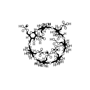 CS(=O)(=O)OC[C@H]1O[C@@H]2O[C@H]3[C@H](O)[C@@H](O)[C@@H](O[C@H]4[C@H](O)[C@@H](O)[C@@H](O[C@@H]5[C@@H](COS(=O)(=O)O)C[C@H](O[C@H]6[C@H](O)[C@@H](O)[C@@H](O[C@H]7[C@H](O)[C@@H](O)[C@@H](O[C@H]8[C@H](O)[C@@H](O)[C@@H](O[C@H]1[C@H](O)[C@H]2O)O[C@@H]8COS(=O)(=O)O)O[C@@H]7COS(=O)(=O)O)O[C@@H]6COS(=O)(=O)O)[C@H](O)[C@H]5O)O[C@@H]4COS(=O)(=O)O)O[C@@H]3COS(=O)(=O)O